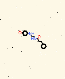 COc1ccc(NCCNC(=O)[CH]Cc2ccccc2)cc1